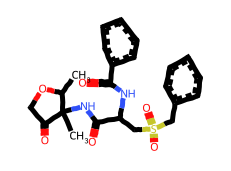 CC1OCC(=O)C1(C)NC(=O)C(CS(=O)(=O)Cc1ccccc1)NC(=O)c1ccccc1